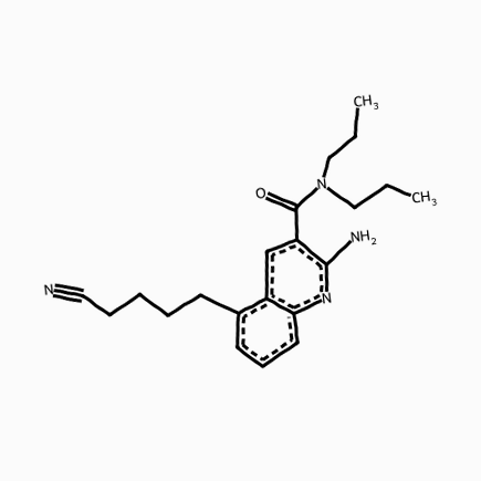 CCCN(CCC)C(=O)c1cc2c(CCCCC#N)cccc2nc1N